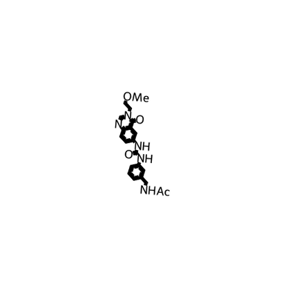 COCCn1cnc2ccc(NC(=O)Nc3cccc(CNC(C)=O)c3)cc2c1=O